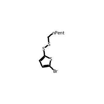 CCCCCCSSc1ccc(Br)s1